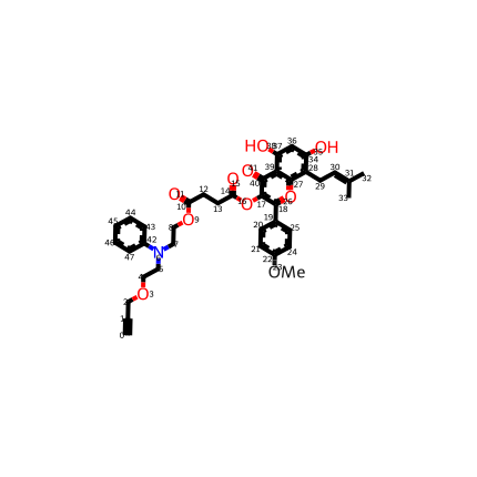 C#CCOCCN(CCOC(=O)CCC(=O)Oc1c(-c2ccc(OC)cc2)oc2c(CC=C(C)C)c(O)cc(O)c2c1=O)c1ccccc1